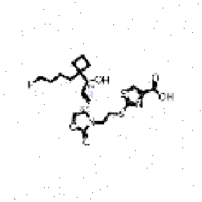 O=C(O)c1csc(SCCN2C(=O)OC[C@@H]2/C=C/[C@H](O)C2(CCCCF)CCC2)n1